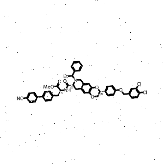 CCC(c1ccccc1)N1Cc2cc3c(cc2C[C@H]1C(=O)N[C@@H](Cc1ccc(-c2ccc(C#N)cc2)cc1)C(=O)OC)OC[C@@H](c1ccc(OCc2ccc(Cl)c(Cl)c2)cc1)O3